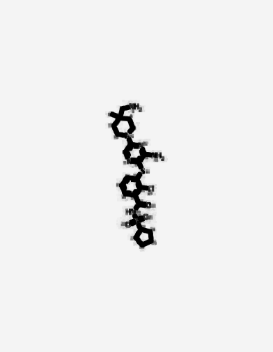 CC1(CN)CCN(c2cnc(Sc3cccc(C(=O)NS(=O)(=O)C4CCCC4)c3Cl)c(N)n2)CC1